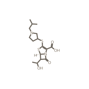 CC(C)CN1CCC(SC2=C(C(=O)O)N3C(=O)C(C(C)O)[C@H]3S2)C1